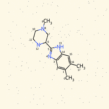 Cc1cc2nc(C3CN(C)CC[N]3)[nH]c2cc1C